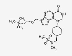 CN(C[C@H]1CC[C@H](N2CNC(=O)c3cnc4c(ccn4COCC[Si](C)(C)C)c32)CC1)S(C)(=O)=O